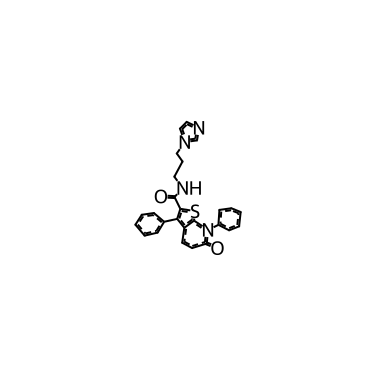 O=C(NCCCn1ccnc1)c1sc2c(ccc(=O)n2-c2ccccc2)c1-c1ccccc1